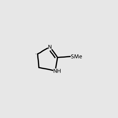 CSC1=N[CH]CN1